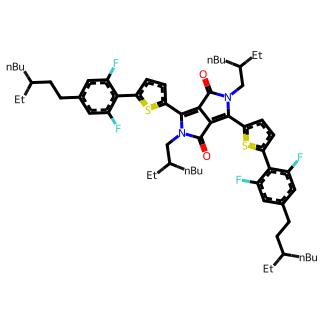 CCCCC(CC)CCc1cc(F)c(-c2ccc(C3=C4C(=O)N(CC(CC)CCCC)C(c5ccc(-c6c(F)cc(CCC(CC)CCCC)cc6F)s5)=C4C(=O)N3CC(CC)CCCC)s2)c(F)c1